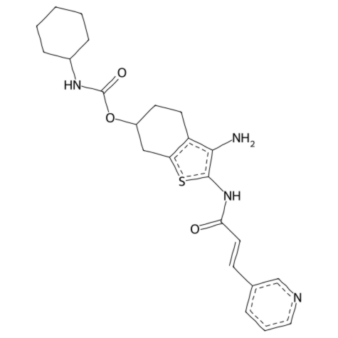 Nc1c(NC(=O)/C=C/c2cccnc2)sc2c1CCC(OC(=O)NC1CCCCC1)C2